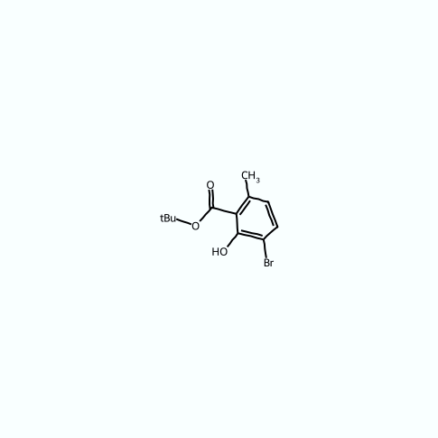 Cc1ccc(Br)c(O)c1C(=O)OC(C)(C)C